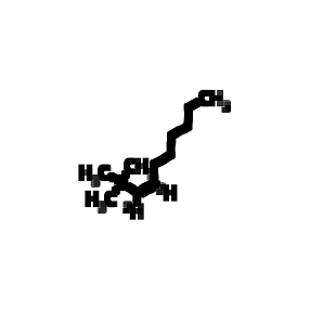 [2H]/C(CCCCCC)=C(\[2H])[Si](C)(C)C